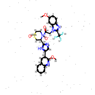 COc1ccc2nc(C(F)(F)F)n(CC(=O)[N+]3([O-])CC[S@@+]([O-])CC3c3ncc(-c4cc5ccccc5nc4OC)[nH]3)c2c1